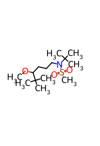 COC(CCCN(C(C)(C)C)S(C)(=O)=O)C(C)(C)C